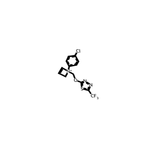 FC(F)(F)c1nnc(OC[N+]2(c3ccc(Cl)cc3)C=CC2)s1